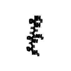 NC(=O)CCNC(=O)[C@@H](N)CCCNC(N)=O